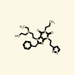 CCCn1c(=O)c2c(nc(Cc3ccccc3)n2CCN(CC)CCO)n(CCc2ccsn2)c1=O